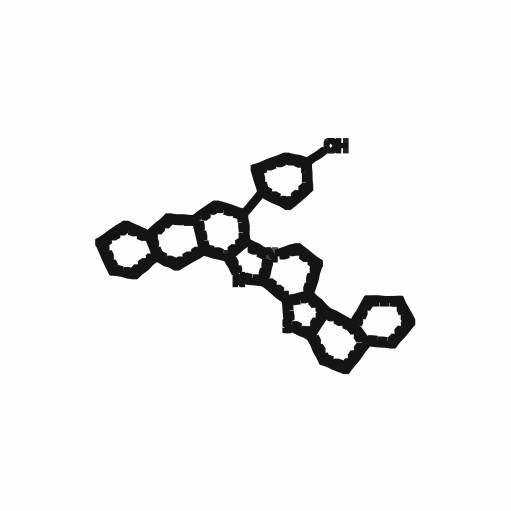 Oc1ccc(-c2cc3cc4ccccc4cc3c3nc4c5sc6ccc7ccccc7c6c5ccn4c23)cc1